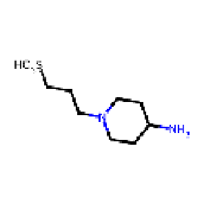 NC1CCN(CCCS(=O)(=O)O)CC1